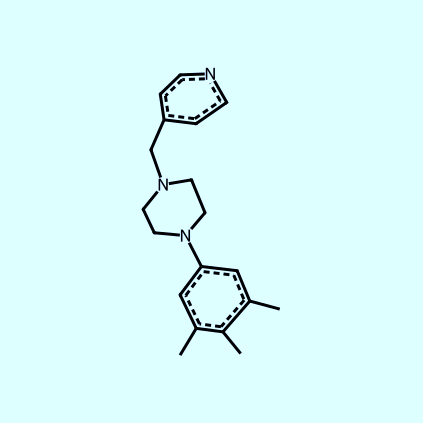 Cc1cc(N2CCN(Cc3ccncc3)CC2)cc(C)c1C